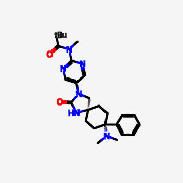 CN(C(=O)C(C)(C)C)c1ncc(N2C[C@]3(CC[C@@](c4ccccc4)(N(C)C)CC3)NC2=O)cn1